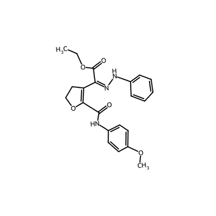 CCOC(=O)C(=NNc1ccccc1)C1=C(C(=O)Nc2ccc(OC)cc2)OCC1